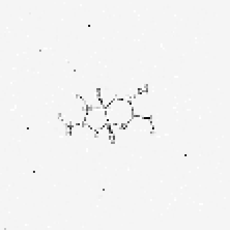 CC[C@H]1O[C@@H]2SC(NC)N(C)[C@@H]2C[C@@H]1O